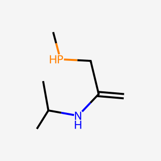 C=C(CPC)NC(C)C